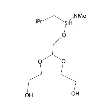 CN[SiH](CC(C)C)OCC(OCCO)OCCO